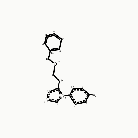 Cc1ccc(-n2cnnc2CCOCC2=CC=C=C=C2)cc1